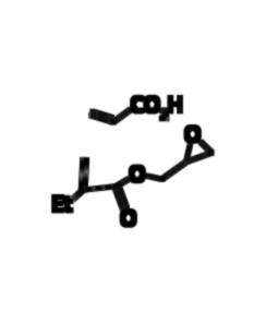 C=C(CC)C(=O)OCC1CO1.C=CC(=O)O